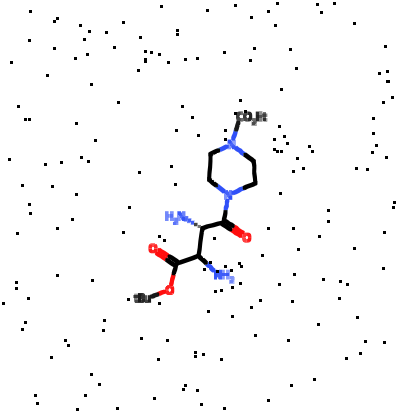 CCOC(=O)N1CCN(C(=O)[C@@H](N)C(N)C(=O)OC(C)(C)C)CC1